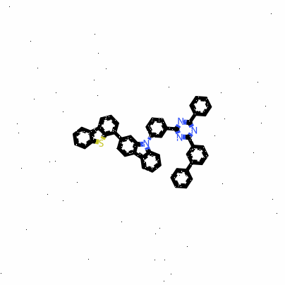 c1ccc(-c2cccc(-c3nc(-c4ccccc4)nc(-c4cccc(-n5c6ccccc6c6ccc(-c7cccc8c7sc7ccccc78)cc65)c4)n3)c2)cc1